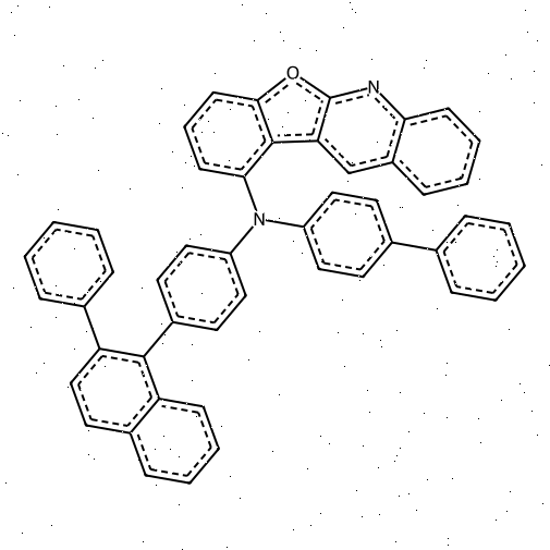 c1ccc(-c2ccc(N(c3ccc(-c4c(-c5ccccc5)ccc5ccccc45)cc3)c3cccc4oc5nc6ccccc6cc5c34)cc2)cc1